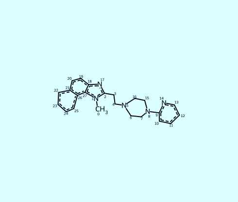 Cn1c(CCN2CCN(c3ccccn3)CC2)nc2ccc3ccccc3c21